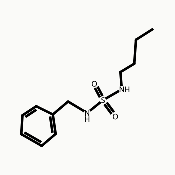 CCCCNS(=O)(=O)NCc1ccccc1